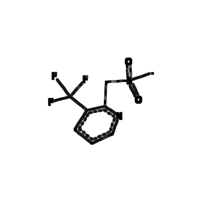 [CH2]S(=O)(=O)Cc1ncccc1C(F)(F)F